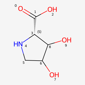 O=C(O)[C@H]1NCC(O)C1O